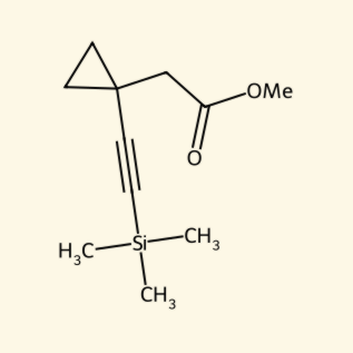 COC(=O)CC1(C#C[Si](C)(C)C)CC1